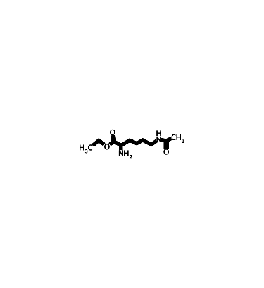 CCOC(=O)C(N)CCCCNC(C)=O